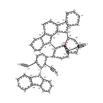 N#Cc1ccc(-c2ccc(C#N)c(-n3c4ccccc4c4ccccc43)c2C#N)c(-n2c3ccccc3c3ccc4c5ccccc5n(-c5ccccc5)c4c32)c1